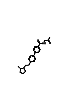 CC(=O)CNC(=O)c1ccc(-c2ccc(CCN3CCC[C@H]3C)cc2)cc1